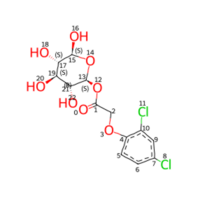 O=C(COc1ccc(Cl)cc1Cl)O[C@@H]1O[C@H](O)[C@@H](O)[C@H](O)[C@H]1O